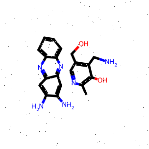 Cc1ncc(CO)c(CN)c1O.Nc1cc2nc3ccccc3nc2cc1N